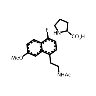 COc1ccc2c(F)ccc(CCNC(C)=O)c2c1.O=C(O)[C@@H]1CCCN1